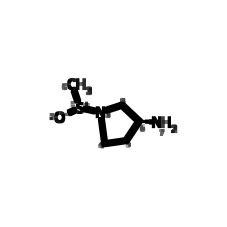 C[S+]([O-])N1CC[C@@H](N)C1